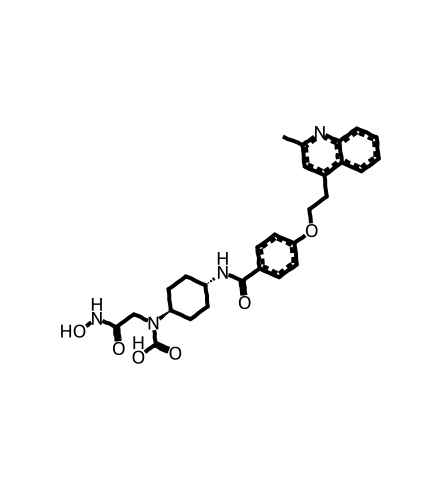 Cc1cc(CCOc2ccc(C(=O)N[C@H]3CC[C@H](N(CC(=O)NO)C(=O)O)CC3)cc2)c2ccccc2n1